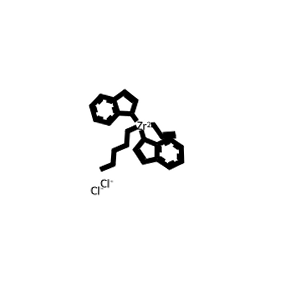 C=C[CH2][Zr+2]([CH2]CCCC)([CH]1C=Cc2ccccc21)[CH]1C=Cc2ccccc21.[Cl-].[Cl-]